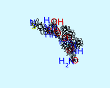 Cc1ncsc1-c1ccc(CNC(=O)[C@@H]2C[C@@H](O)CN2C(=O)[C@@H](NC(=O)CCCCc2ccc(CO[C@H](C)[C@H](CCC(N)=O)NC(=O)[C@@H]3Cc4cccc5c4N3C(=O)[C@@H](NC(=O)OCC3c4ccccc4-c4ccccc43)CC5)c(F)c2)C(C)(C)C)cc1